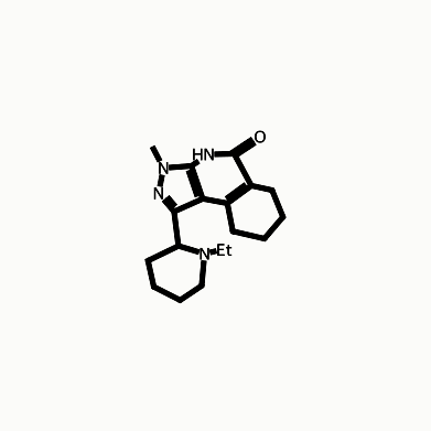 CCN1CCCCC1c1nn(C)c2[nH]c(=O)c3c(c12)CCCC3